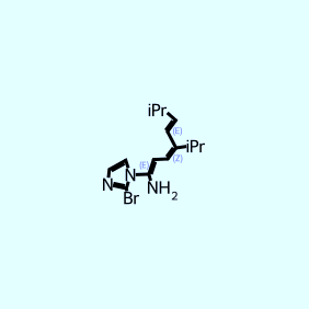 CC(C)/C=C/C(=C\C=C(/N)n1ccnc1Br)C(C)C